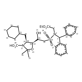 CCOC(=O)CN(C(c1ccccc1)c1ccccc1)S(=O)(=O)CC(O)[C@H]1OC(C)(C)N(C(=O)O)[C@H]1CC1CCCCC1